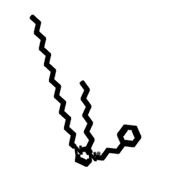 CCCCCCCCCCCCCCCCCn1cc[n+](CCCc2ccccc2)c1CCCCCCCC